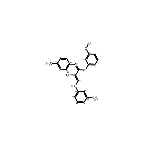 CCOc1cccc(OC(=Nc2ccc(C)cc2)C(C)=COc2cccc(C)c2)c1